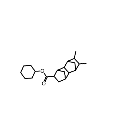 CC1C(C)C2CC1C1C3CC(C(=O)OC4CCCCC4)C(C3)C21